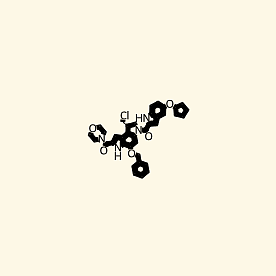 O=C(c1cc2c3c(cc(OCc4ccccc4)c2[nH]1)N(C(=O)c1cc2cc(OC4CCCC4)ccc2[nH]1)C[C@H]3CCl)N1CCOCC1